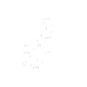 COc1cccc2[nH]c(C(=O)N3CC(C)CC3C(O)NC(C#N)CC3CCNC3=O)cc12